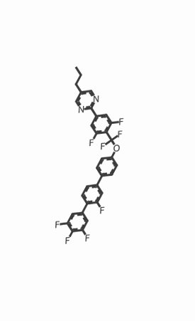 CCCc1cnc(-c2cc(F)c(C(F)(F)Oc3ccc(-c4ccc(-c5cc(F)c(F)c(F)c5)c(F)c4)cc3)c(F)c2)nc1